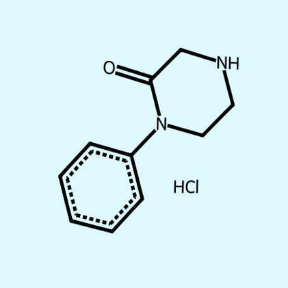 Cl.O=C1CNCCN1c1ccccc1